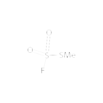 CSS(=O)(=O)F